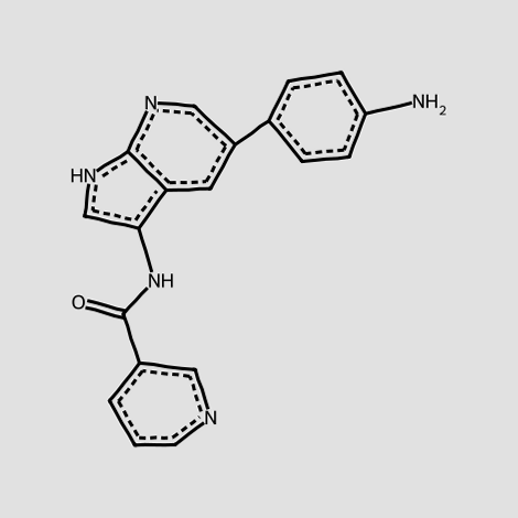 Nc1ccc(-c2cnc3[nH]cc(NC(=O)c4cccnc4)c3c2)cc1